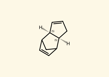 C1=C[C@@H]2C3C=CC(C3)[C@@H]2C1